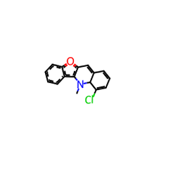 CN1c2c(oc3ccccc23)C=C2C=CC=C(Cl)C21